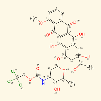 COc1cccc2c1C(=O)c1c(O)c3c(c(O)c1C2=O)C[C@@](O)(C(C)=O)C[C@@H]3OC1CC(NC(=O)OCC(Cl)(Cl)Cl)C(O)C(C)O1